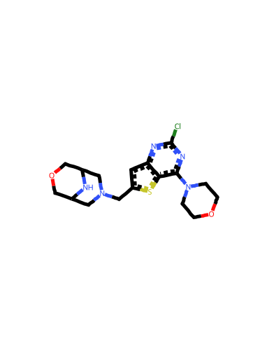 Clc1nc(N2CCOCC2)c2sc(CN3CC4COCC(C3)N4)cc2n1